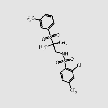 CC(C)(CNS(=O)(=O)c1ccc(C(F)(F)F)cc1Cl)S(=O)(=O)c1cccc(C(F)(F)F)c1